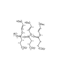 CCCCCCCCCCC=COC(=O)CCC(=O)[O-].CCCCCCCCCCC=COC(=O)CCC(=O)[O-].CCCCCCCCCCC=COC(=O)CCC(=O)[O-].[Al+3]